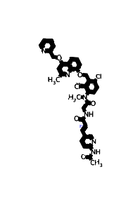 CC(=O)Nc1ccc(/C=C/C(=O)NCC(=O)N(C)c2ccc(Cl)c(COc3cccc4c(OCc5ccccn5)cc(C)nc34)c2Cl)cn1